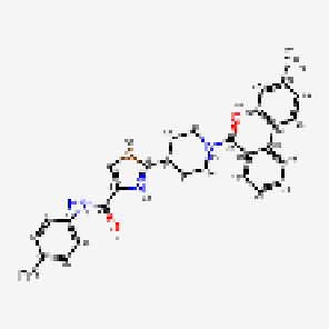 CC(C)c1ccc(NC(=O)c2csc(C3CCN(C(=O)c4ccccc4-c4ccc(C(F)(F)F)cc4)CC3)n2)cc1